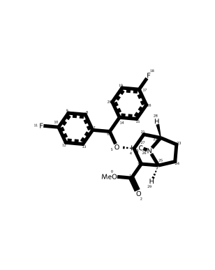 COC(=O)C1[C@H](OC(c2ccc(F)cc2)c2ccc(F)cc2)C[C@@H]2CC[C@@H]1N2C